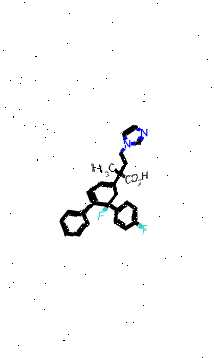 CC(CCn1ccnc1)(C(=O)O)C1=CC=C(c2ccccc2)C(F)(c2ccc(F)cc2)C1